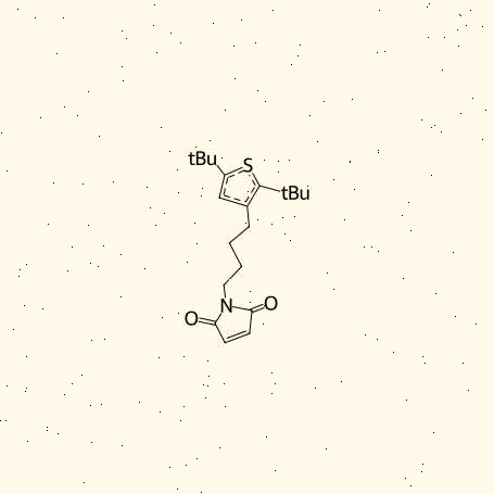 CC(C)(C)c1cc(CCCCN2C(=O)C=CC2=O)c(C(C)(C)C)s1